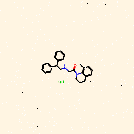 Cc1cccc2c1N(C(=O)CNCC(c1ccccc1)c1ccccc1)CCC2.Cl